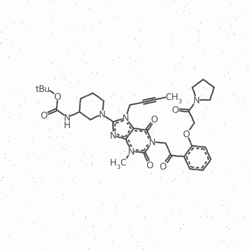 CC#CCn1c(N2CCCC(NC(=O)OC(C)(C)C)C2)nc2c1c(=O)n(CC(=O)c1ccccc1OCC(=O)N1CCCC1)c(=O)n2C